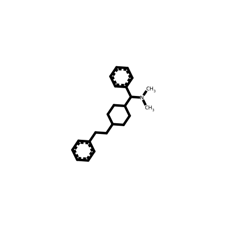 CN(C)C(c1ccccc1)C1CCC(CCc2ccccc2)CC1